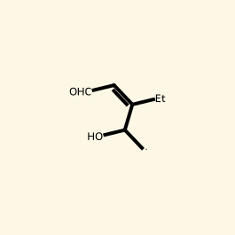 [CH2]C(O)C(=CC=O)CC